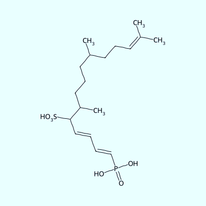 CC(C)=CCCC(C)CCCC(C)C(C=CC=CP(=O)(O)O)S(=O)(=O)O